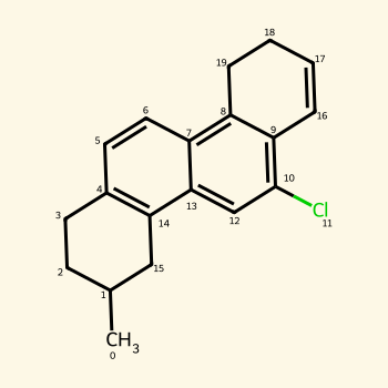 CC1CCc2ccc3c4c(c(Cl)cc3c2C1)C=CCC4